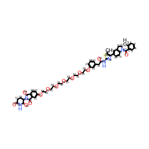 Cc1ccccc1C(=O)N1CCc2cc(-c3nc(NC(=O)Cc4cccc(OCCOCCOCCOCCOCCOCCOc5ccc6c(c5)C(=O)N(C5CCC(=O)NC5=O)C6=O)c4)sc3C)ccc21